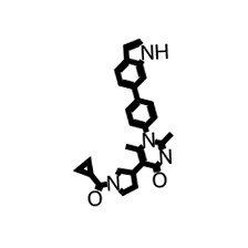 Cc1nc(=O)c(C2CCN(C(=O)C3CC3)C2)c(C)n1-c1ccc(-c2ccc3cc[nH]c3c2)cc1